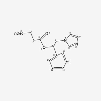 CCCCCCCCCCCCC(=O)OC(Cn1ccnc1)c1ccccc1